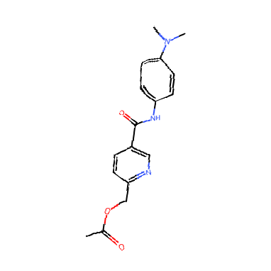 CC(=O)OCc1ccc(C(=O)Nc2ccc(N(C)C)cc2)cn1